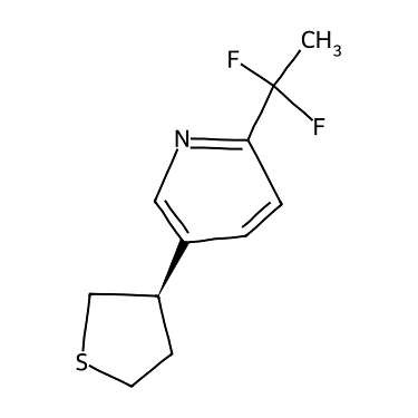 CC(F)(F)c1ccc([C@H]2CCSC2)cn1